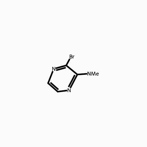 CNc1nccnc1Br